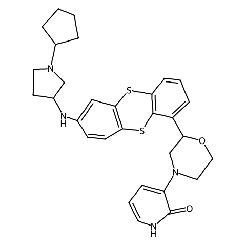 O=c1[nH]cccc1N1CCOC(c2cccc3c2Sc2ccc(NC4CCN(C5CCCC5)C4)cc2S3)C1